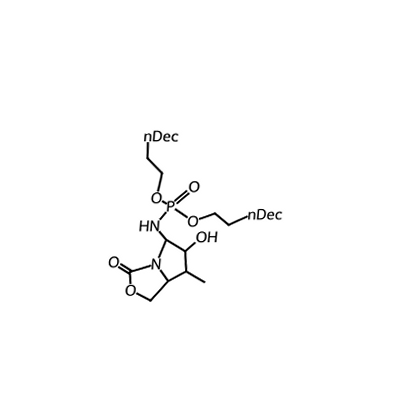 CCCCCCCCCCCCOP(=O)(NC1C(O)C(C)C2COC(=O)N21)OCCCCCCCCCCCC